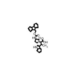 CC(c1c[nH]c2ccccc12)C(C(=O)O)N1CC[C@H](NC(=O)OCC2c3ccccc3-c3ccccc32)C1=O